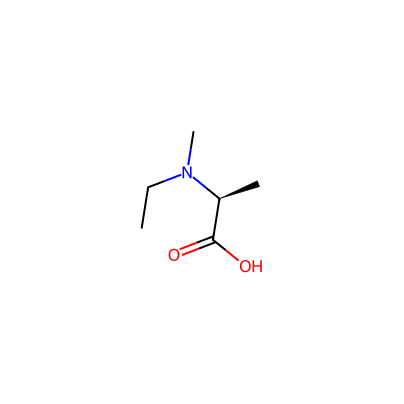 CCN(C)[C@@H](C)C(=O)O